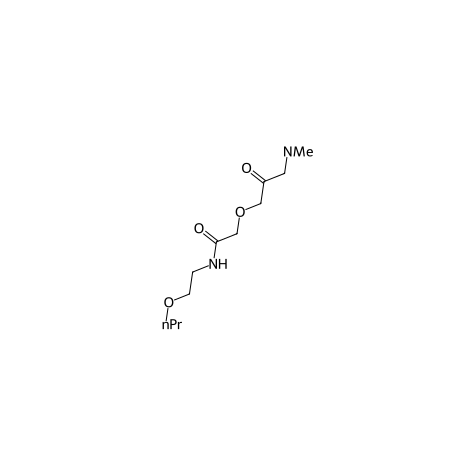 CCCOCCNC(=O)COCC(=O)CNC